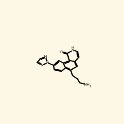 NCCCc1cc2cc[nH]c(=O)c2c2cc(-n3nccn3)ccc12